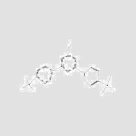 CC(C)(C)C1=CCC(c2cc(I)cc(-c3ccc(C(C)(C)C)cc3)c2)C=C1